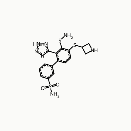 NSc1c(SC2CNC2)ccc(-c2cccc(S(N)(=O)=O)c2)c1-c1nn[nH]n1